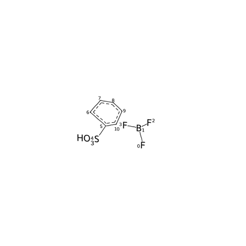 FB(F)F.O=S(=O)(O)c1ccccc1